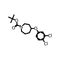 CC(C)(C)OC(=O)N1CCCC(Oc2ccc(Cl)c(Cl)c2)CC1